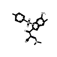 Cc1ccc(S(=O)(=O)n2c(C(=O)/C(C#N)=C/N(C)C)cc3cc(C)c(N)cc32)cc1